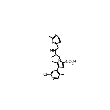 Cc1nccc(CNC(C)Cn2c(C(=O)O)cc(-c3cc(Cl)ncc3C)c2C)n1